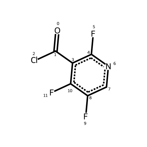 O=C(Cl)c1c(F)ncc(F)c1F